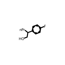 CCCC(CO)c1ccc(F)cc1